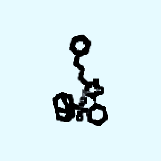 O=S(=O)(N1CCCC[C@H]1c1nc(CCCc2ccccc2)no1)C12CC3CC(CC(C3)C1)C2